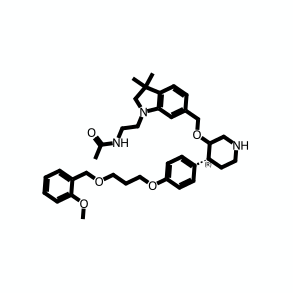 COc1ccccc1COCCCOc1ccc([C@H]2CCNCC2OCc2ccc3c(c2)N(CCNC(C)=O)CC3(C)C)cc1